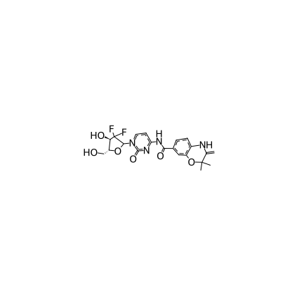 C=C1Nc2ccc(C(=O)Nc3ccn(C4O[C@H](CO)[C@@H](O)C4(F)F)c(=O)n3)cc2OC1(C)C